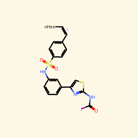 CCCCCC/C=C\c1ccc(S(=O)(=O)Nc2cccc(-c3csc(NC(=O)I)n3)c2)cc1